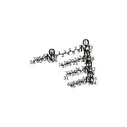 CCCCCCCCCCN1CCCC1=O.CCCCCCCCCN1CCCC1=O.CCCCCCCCN1CCCC1=O.CCCCCCCN1CCCC1=O.CCCCCCN1CCCC1=O